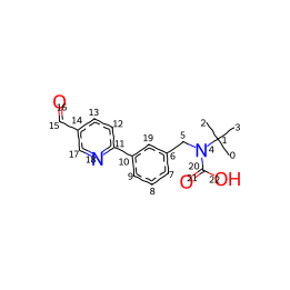 CC(C)(C)N(Cc1cccc(-c2ccc(C=O)cn2)c1)C(=O)O